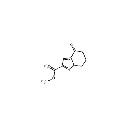 C=C(OC)c1cc2n(n1)CCCC2=O